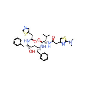 CC(C)[C@H](NC(=O)Cc1csc(N(C)C)n1)C(=O)N[C@@H](Cc1ccccc1)C[C@H](O)[C@H](Cc1ccccc1)NC(=O)Cc1cncs1